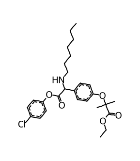 CCCCCCCNC(C(=O)Oc1ccc(Cl)cc1)c1ccc(OC(C)(C)C(=O)OCC)cc1